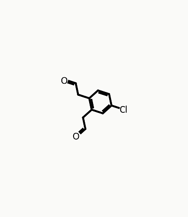 O=CCc1ccc(Cl)cc1CC=O